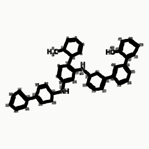 CC1C=CC=CC1c1ccc(NC2C=CC(c3ccccc3)=CC2)cc1NC1C=CC=C(c2cccc(-c3ccccc3O)c2)C1